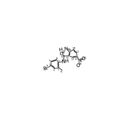 Cc1cc(Br)ccc1NC(=O)c1cc([N+](=O)[O-])ccc1N